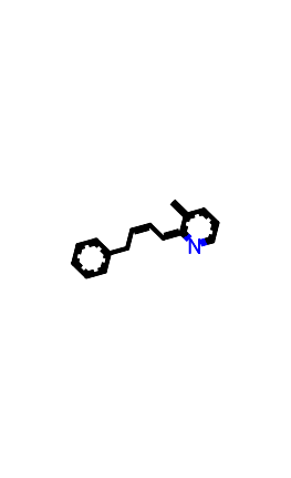 C=c1cccn/c1=C/C=C\Cc1ccccc1